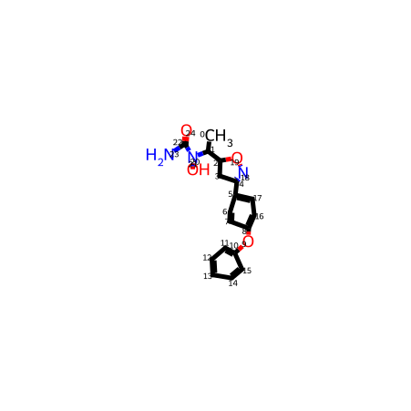 CC(C1CC(c2ccc(Oc3ccccc3)cc2)=NO1)N(O)C(N)=O